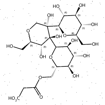 O=C(O)CC(=O)OC[C@@H]1OC([C@]2(O)[C@H](O)[C@@H](CO)O[CH][C@@]2(O)[C@@H]2O[C@H](CO)[C@@H](O)[C@H](O)[C@H]2O)[C@@H](O)[C@H](O)[C@H]1O